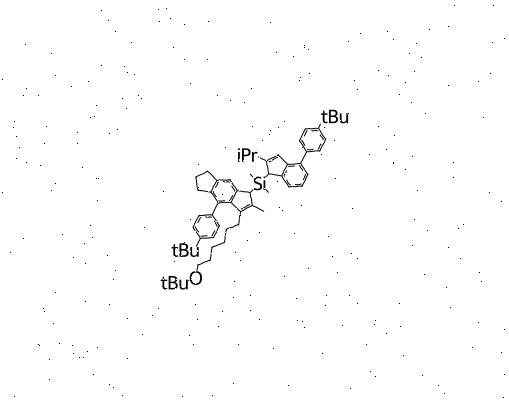 CC1=C(CCCCCCOC(C)(C)C)c2c(cc3c(c2-c2ccc(C(C)(C)C)cc2)CCC3)C1[Si](C)(C)C1C(C(C)C)=Cc2c(-c3ccc(C(C)(C)C)cc3)cccc21